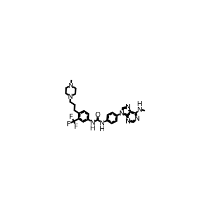 CNc1ncnc2c1ncn2-c1ccc(NC(=O)Nc2ccc(CCCN3CCN(C)CC3)c(C(F)(F)F)c2)cc1